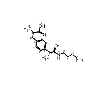 COCCNC(=O)[C@H](C)c1ccc(CC(C)C(=O)O)cc1